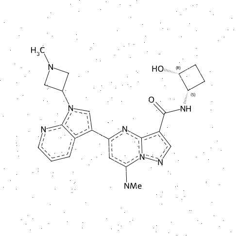 CNc1cc(-c2cn(C3CN(C)C3)c3ncccc23)nc2c(C(=O)N[C@H]3CC[C@H]3O)cnn12